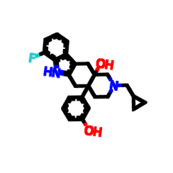 Oc1cccc(C23CCN(CC4CC4)CC2(O)Cc2c([nH]c4c(F)cccc24)C3)c1